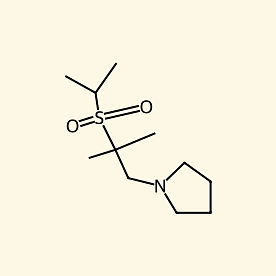 CC(C)S(=O)(=O)C(C)(C)CN1CCCC1